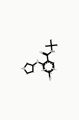 CC(C)(C)NC(=O)c1cnc(Cl)nc1OC1CCOC1